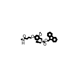 C#CCN(Cc1ccc(OCCCC(=O)NC)cc1OC)C(=O)OCC1c2ccccc2-c2ccccc21